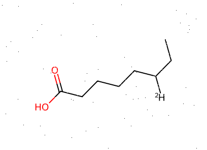 [2H]C(CC)CCCCC(=O)O